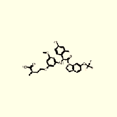 COc1cc(NC(C(=O)N2CCc3ccc(OC(F)(F)F)cc32)c2ccc(Cl)cc2C)cc(OCCC(C)C(=O)O)c1